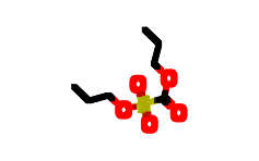 CCCOC(=O)S(=O)(=O)OCCC